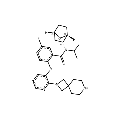 CC(C)N(C(=O)c1cc(F)ccc1Oc1cncnc1N1CC2(CCNCC2)C1)[C@@H]1C[C@@H]2CC[C@H]1O2